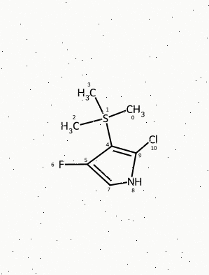 CS(C)(C)c1c(F)c[nH]c1Cl